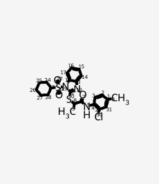 Cc1ccc(NC(=O)C(C)Sc2nc3ccccc3n2S(=O)(=O)C2CCCCC2)c(Cl)c1